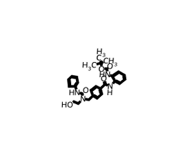 CC(C)(C)OC(=O)Nc1ccccc1NC(=O)c1ccc(CN(CCO)C(=O)Nc2ccccc2)cc1